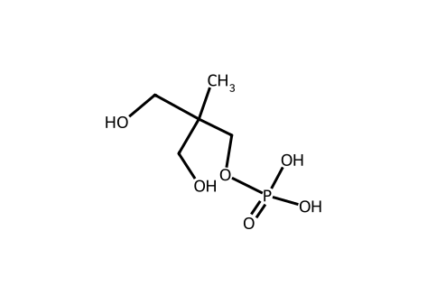 CC(CO)(CO)COP(=O)(O)O